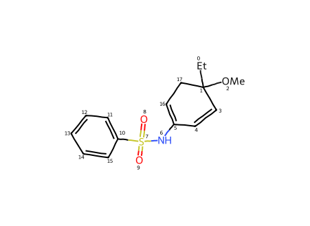 CCC1(OC)C=CC(NS(=O)(=O)c2ccccc2)=CC1